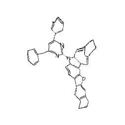 C1=C2CCC2=CC2C1c1c(ccc3c1oc1cc4c(cc13)CC4)N2c1nc(-c2ccccc2)cc(-c2ccccc2)n1